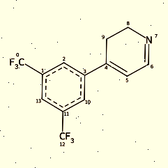 FC(F)(F)c1cc(C2=CC=NCC2)cc(C(F)(F)F)c1